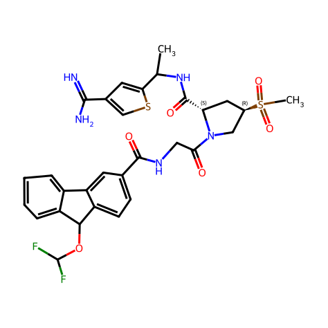 CC(NC(=O)[C@@H]1C[C@@H](S(C)(=O)=O)CN1C(=O)CNC(=O)c1ccc2c(c1)-c1ccccc1C2OC(F)F)c1cc(C(=N)N)cs1